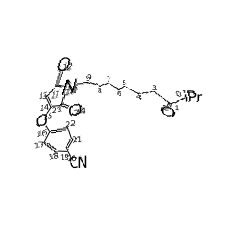 CC(C)C(=O)CCCCCCCN1C(=O)C=C(Oc2ccc(C#N)cc2)C1=O